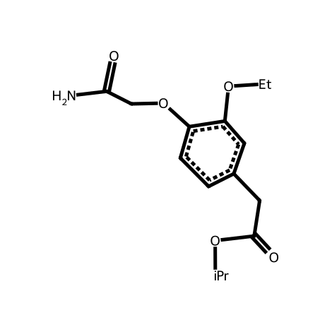 CCOc1cc(CC(=O)OC(C)C)ccc1OCC(N)=O